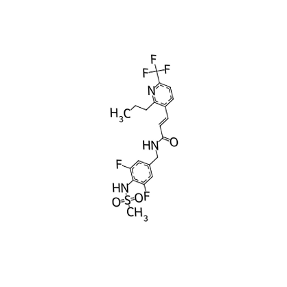 CCCc1nc(C(F)(F)F)ccc1C=CC(=O)NCc1cc(F)c(NS(C)(=O)=O)c(F)c1